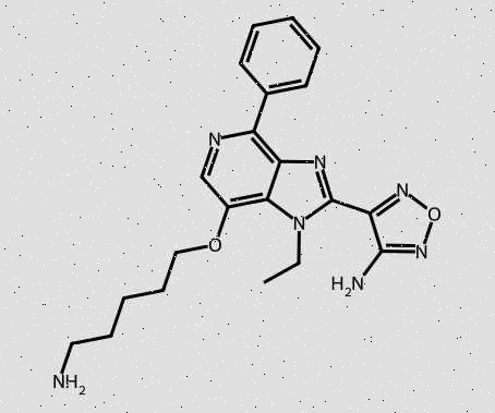 CCn1c(-c2nonc2N)nc2c(-c3ccccc3)ncc(OCCCCCN)c21